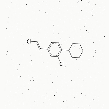 Cl/C=C/c1ccc(C2CCCCC2)c(Cl)c1